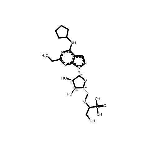 CCc1nc(NC2CCCC2)c2cnn([C@@H]3O[C@H](COC(CO)P(=O)(O)O)[C@@H](O)[C@H]3O)c2n1